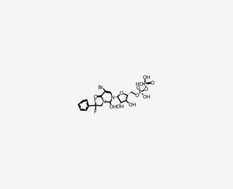 O=C1C(Br)=CN([C@@H]2O[C@H](COP(=O)(O)OP(=O)(O)O)C(O)[C@@H]2O)C(O)N1CC(F)(F)c1ccccc1